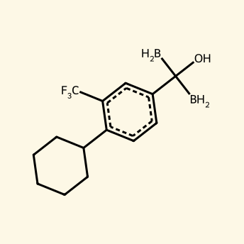 BC(B)(O)c1ccc(C2CCCCC2)c(C(F)(F)F)c1